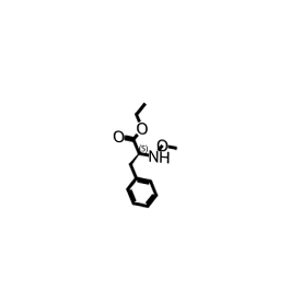 CCOC(=O)[C@H](Cc1ccccc1)NOC